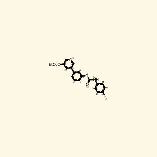 CCOC(=O)c1cncc(-c2cccc(OC(=O)Nc3ccc(F)cc3)c2)c1